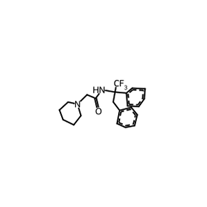 O=C(CN1CCCCC1)NC(Cc1ccccc1)(c1ccccc1)C(F)(F)F